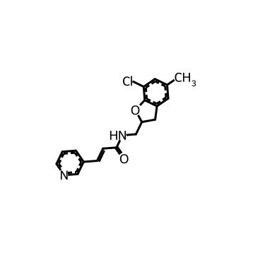 Cc1cc(Cl)c2c(c1)CC(CNC(=O)C=Cc1cccnc1)O2